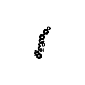 COc1ccc(-c2ccc(CN(CCCNc3nsc4ccccc34)C(C)=O)cc2)cc1